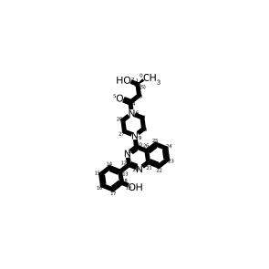 C[C@H](O)CC(=O)N1CCN(c2nc(-c3ccccc3O)nc3ccccc23)CC1